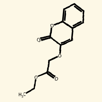 CCOC(=O)COc1[c]c2ccccc2oc1=O